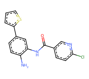 Nc1ccc(-c2cccs2)cc1NC(=O)c1ccc(Cl)nc1